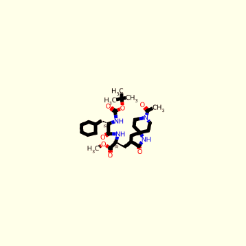 COC(=O)[C@H](CC1CC2(CCN(C(C)=O)CC2)NC1=O)NC(=O)[C@H](CC1CCCCC1)NC(=O)OC(C)(C)C